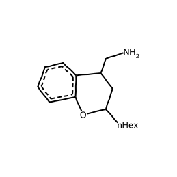 CCCCCCC1CC(CN)c2ccccc2O1